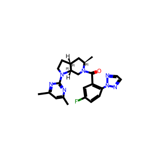 Cc1cc(C)nc(N2CC[C@@H]3C[C@@H](C)N(C(=O)c4cc(F)ccc4-n4nccn4)C[C@@H]32)n1